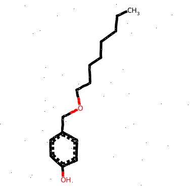 CCCCCCCCOCc1ccc(O)cc1